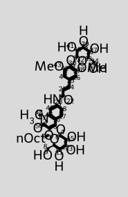 CCCCCCCCOc1c(O[C@@H]2O[C@H](CO)[C@H](O)[C@H](O)[C@H]2O)c2ccc(NC(=O)C=Cc3cc(OC)c(O[C@@H]4O[C@H](CO)[C@H](O)[C@H](O)[C@H]4O)c(OC)c3)cc2n(C)c1=O